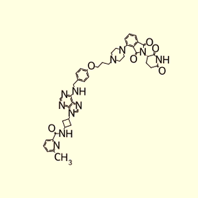 Cc1cccc(C(=O)NC2CC(n3cnc4c(NCc5ccc(OCCCN6CCN(c7cccc8c7C(=O)N([C@H]7CCC(=O)NC7=O)C8=O)CC6)cc5)ncnc43)C2)n1